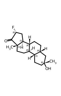 C[C@@]1(O)CC[C@H]2[C@H](CC[C@@H]3[C@@H]2CC[C@]2(C)C(=O)[C@H](F)C[C@@H]32)C1